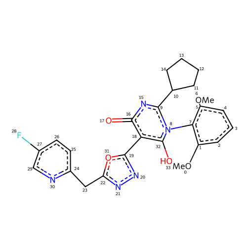 COc1cccc(OC)c1-n1c(C2CCCC2)nc(=O)c(-c2nnc(Cc3ccc(F)cn3)o2)c1O